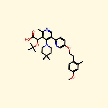 COc1ccc(CCOc2ccc(-c3cnc(C)c(C(OC(C)(C)C)C(=O)O)c3N3CCC(C)(C)CC3)nc2)c(C)c1